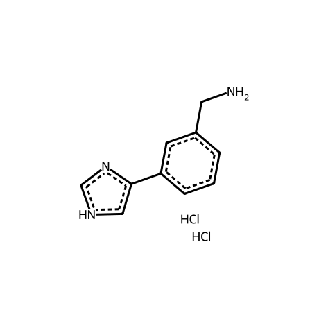 Cl.Cl.NCc1cccc(-c2c[nH]cn2)c1